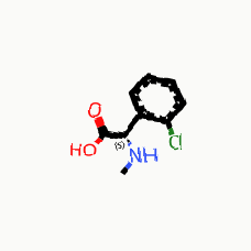 CN[C@H](C(=O)O)c1ccccc1Cl